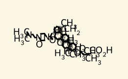 C=C(C)[C@@H]1CC[C@]2(CC(=O)N3CCN(CCN(C)C)C(=O)C3)CC[C@]3(C)[C@H](CC[C@@H]4[C@@]5(C)CC[C@H](OC(=O)CC(C)(C)CC(=O)O)C(C)(C)[C@@H]5CC[C@]43C)[C@@H]12